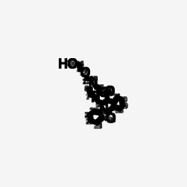 O=C(O)c1c(CN2CCN(CCOCCO)CC2)n(-c2ccccc2)c(=O)c2ccccc12